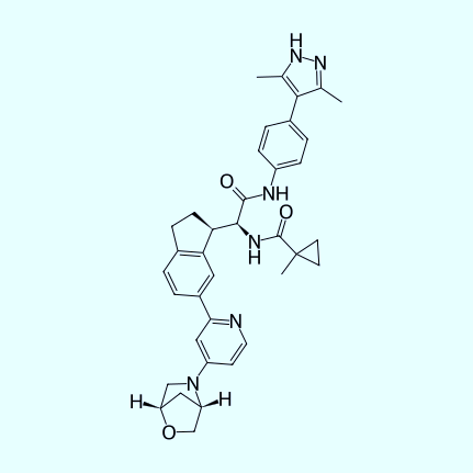 Cc1n[nH]c(C)c1-c1ccc(NC(=O)[C@@H](NC(=O)C2(C)CC2)[C@@H]2CCc3ccc(-c4cc(N5C[C@@H]6C[C@H]5CO6)ccn4)cc32)cc1